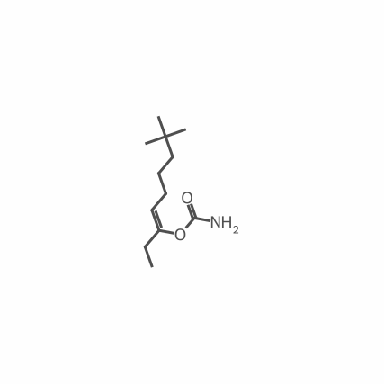 CCC(=CCCCC(C)(C)C)OC(N)=O